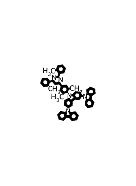 Cc1ccccc1-c1cc(-c2cc(C)c(-n3c4ccc(-n5c6ccccc6c6ccccc65)cc4c4cc(-n5c6ccccc6c6ccccc65)ccc43)c(C)c2)nc(-c2ccccc2C)n1